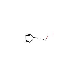 O[CH2][Co][CH]1C=CC=C1